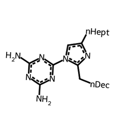 CCCCCCCCCCCc1nc(CCCCCCC)cn1-c1nc(N)nc(N)n1